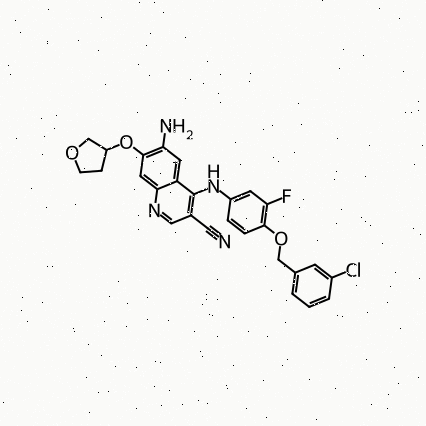 N#Cc1cnc2cc(OC3CCOC3)c(N)cc2c1Nc1ccc(OCc2cccc(Cl)c2)c(F)c1